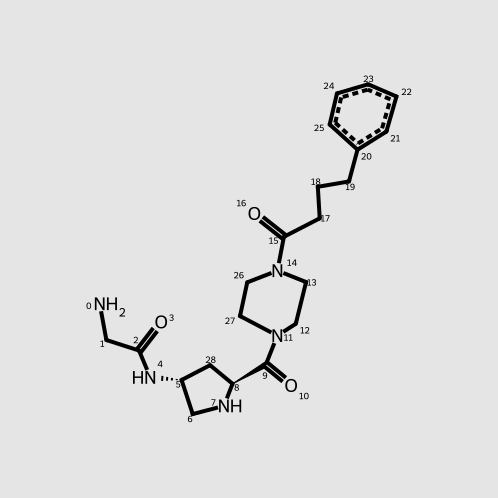 NCC(=O)N[C@H]1CN[C@H](C(=O)N2CCN(C(=O)CCCc3ccccc3)CC2)C1